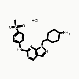 CS(=O)(=O)c1ccc(Nc2ncc3cnn(CC4CCC(N)CC4)c3n2)cc1.Cl